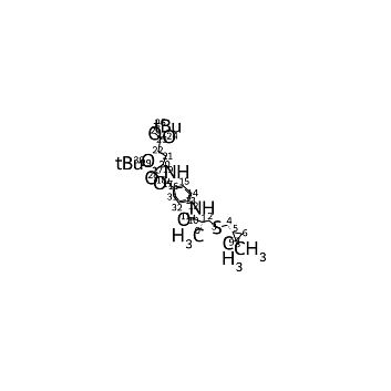 C[C@@H](CSC[C@@H]1CC1(C)C)C(=O)Nc1ccc(C(=O)NC(CCC(=O)OC(C)(C)C)C(=O)OC(C)(C)C)cc1